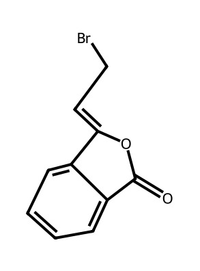 O=C1OC(=CCBr)c2ccccc21